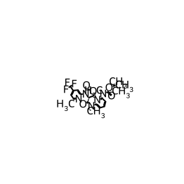 Cc1cc(C(F)(F)F)cc(N2C(=O)OC[C@H]2C(=O)N(C)c2cccc(N(C)C(=O)OC(C)(C)C)n2)n1